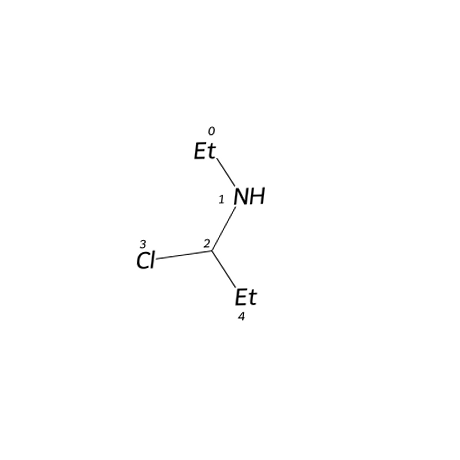 CCNC(Cl)CC